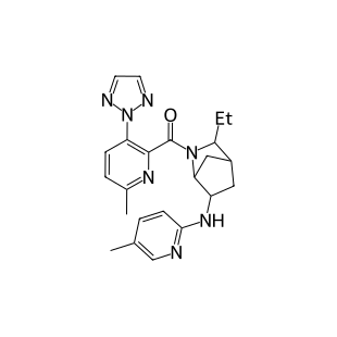 CCC1C2CC(Nc3ccc(C)cn3)C(C2)N1C(=O)c1nc(C)ccc1-n1nccn1